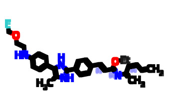 C=C/C=C\C(=C)/N=C(/C=C/c1ccc(C2NC(C)=C(c3ccc(NCCOCF)cc3)N2)cc1)OCC